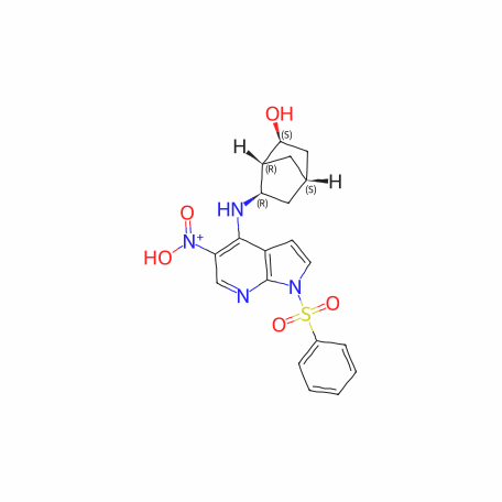 O=[N+](O)c1cnc2c(ccn2S(=O)(=O)c2ccccc2)c1N[C@@H]1C[C@@H]2C[C@H]1[C@@H](O)C2